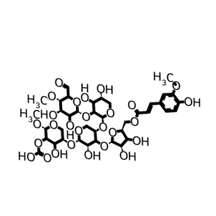 COc1cc(/C=C/C(=O)OC[C@@H]2O[C@@H](OC3[C@H](O[C@@H]4OC[C@@H](O)C(O)C4O[C@H]4OC(C=O)[C@@H](OC)[C@H](O)C4O)CO[C@@H](O[C@@H]4CO[C@@H](OC)C(OC(=O)O)C4O)[C@H]3O)[C@@H](O)C2O)ccc1O